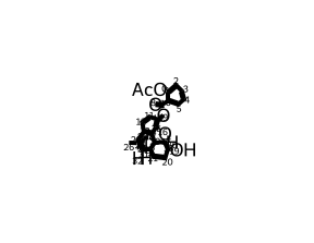 CC(=O)Oc1ccccc1C(=O)Oc1ccc2c3c1O[C@H]1[C@@H](O)C=C[C@H]4[C@@H](C2)N(C)CC[C@@]341